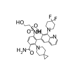 [2H]c1c(-c2c(NS(=O)(=O)CCO)ccc(C(N)=O)c2N2CCC3(CC2)CC3)cc2cccnc2c1N1CCC(F)(F)CC1